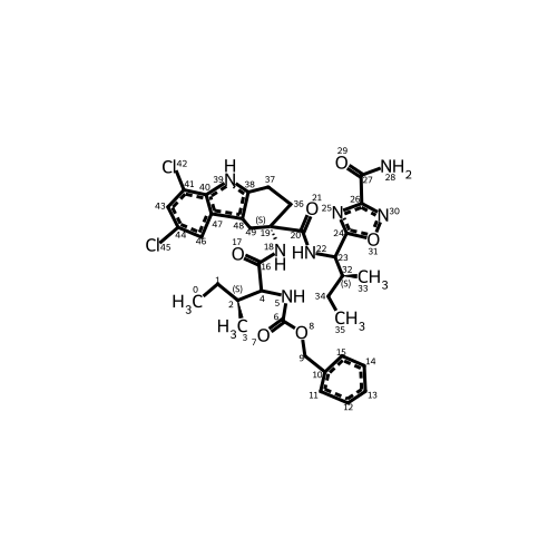 CC[C@H](C)C(NC(=O)OCc1ccccc1)C(=O)N[C@@]1(C(=O)NC(c2nc(C(N)=O)no2)[C@@H](C)CC)CCc2[nH]c3c(Cl)cc(Cl)cc3c2C1